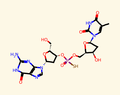 Cc1cn([C@H]2C[C@@H](O)[C@@H](COP(=O)(S)O[C@@H]3C[C@H](n4cnc5c(=O)[nH]c(N)nc54)O[C@@H]3CO)O2)c(=O)[nH]c1=O